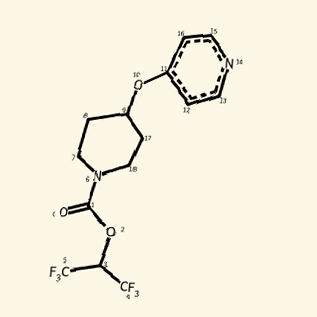 O=C(OC(C(F)(F)F)C(F)(F)F)N1CCC(Oc2ccncc2)CC1